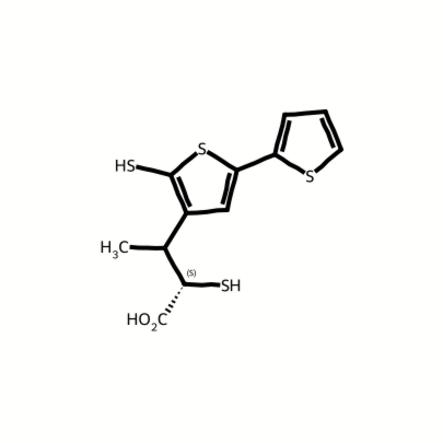 CC(c1cc(-c2cccs2)sc1S)[C@H](S)C(=O)O